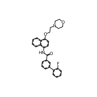 O=C(Nc1ccc(OCCN2CCOCC2)c2ccccc12)c1cccc(-c2ccccc2F)c1